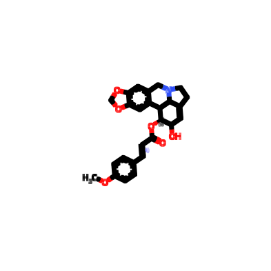 COc1ccc(/C=C/C(=O)O[C@@H]2C(O)C=C3CCN4Cc5cc6c(cc5C2C34)OCO6)cc1